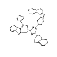 c1ccc(-c2cc(-c3nc(-c4ccc5ccccc5c4)nc(-c4ccc5oc6ccc7ccccc7c6c5c4)n3)cc3oc4ccccc4c23)cc1